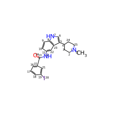 CN1CCC(c2c[nH]c3ccc(NC(=O)c4cccc(I)c4)cc23)CC1